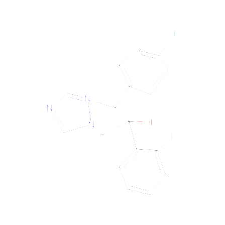 CC(c1ccc(F)cc1)C(O)(Cn1cncn1)c1ccccc1F